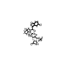 O=C1NCC[C@H]1C[C@H](NC(=O)[C@@H]1[C@H]2CCC[C@H]2CN1C(=O)c1noc2ccc(Cl)cc12)C(=O)COC(F)(F)F